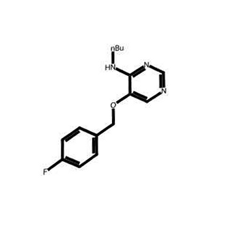 CCCCNc1ncncc1OCc1ccc(F)cc1